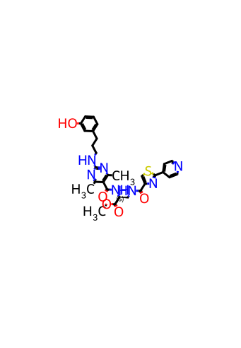 COC(=O)[C@H](CNC(=O)c1csc(-c2ccncc2)n1)NC(=O)c1c(C)nc(NCCCc2cccc(O)c2)nc1C